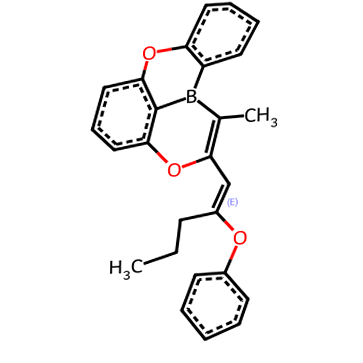 CCC/C(=C\C1=C(C)B2c3ccccc3Oc3cccc(c32)O1)Oc1ccccc1